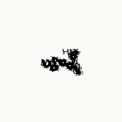 CN1CC=C(c2ccccc2[C@H]2CCCN2c2ccc(-c3ccc(C(=O)OC(C)(C)C)c(Oc4cnc5[nH]ccc5c4)c3)cc2)CC1